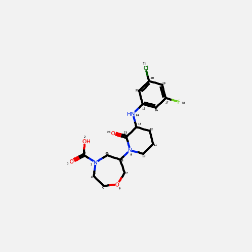 O=C(O)N1CCOCC(N2CCCC(Nc3cc(F)cc(Cl)c3)C2=O)C1